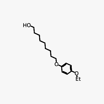 CCOc1ccc(OCCCCCCCCCO)cc1